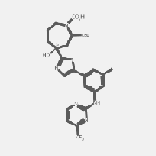 Cc1cc(Nc2nccc(C(F)(F)F)n2)cc(-c2cnc([C@]3(O)CCCN(C(=O)O)C(C(C)(C)C)C3)s2)c1